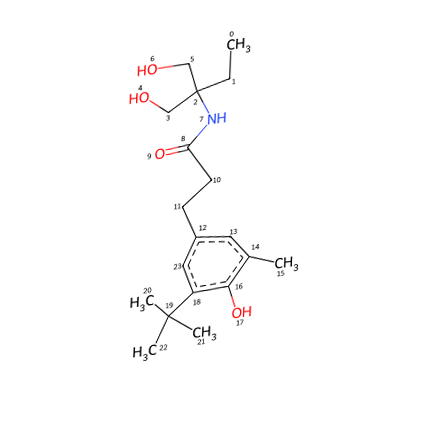 CCC(CO)(CO)NC(=O)CCc1cc(C)c(O)c(C(C)(C)C)c1